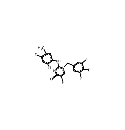 Cc1cc(Nc2nc(=O)c(F)cn2Cc2cc(F)c(F)c(F)c2)c(Cl)cc1F